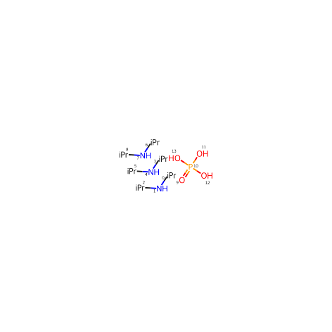 CC(C)NC(C)C.CC(C)NC(C)C.CC(C)NC(C)C.O=P(O)(O)O